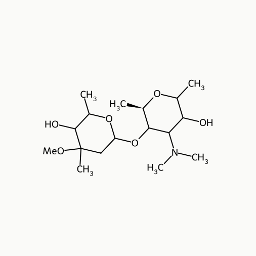 COC1(C)CC(OC2C(N(C)C)C(O)C(C)O[C@@H]2C)OC(C)C1O